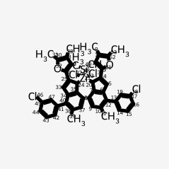 Cc1cc(C2=Cc3c(ccc(C)c3-c3cccc(Cl)c3)[CH]2[Zr]([Cl])([Cl])([CH]2C(c3cc(C)c(C)o3)=Cc3c2ccc(C)c3-c2cccc(Cl)c2)=[Si](C)C)oc1C